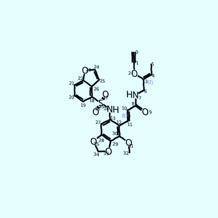 C#CO/C(=C\C)CNC(=O)/C=C/c1c(NS(=O)(=O)c2cccc3occc23)cc2c(c1OC)OCO2